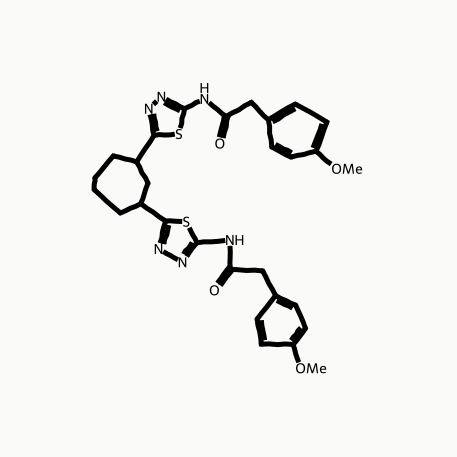 COc1ccc(CC(=O)Nc2nnc(C3CCCCC(c4nnc(NC(=O)Cc5ccc(OC)cc5)s4)C3)s2)cc1